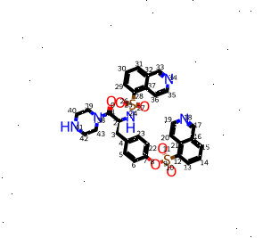 O=C([C@H](Cc1ccc(OS(=O)(=O)c2cccc3cnccc23)cc1)NS(=O)(=O)c1cccc2cnccc12)N1CCNCC1